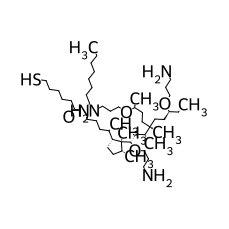 CCCCCCCCN(CCC[C@@H](C)[C@H]1CC[C@@H](C)[C@]1(C)[C@H](C[C@@H](C)[C@@](C)(CC[C@H](CC)OCCCN)CC[C@H](C)OCCCN)OCCCN)C(=O)CCCCCS